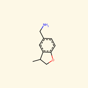 CC1COc2ccc(CN)cc21